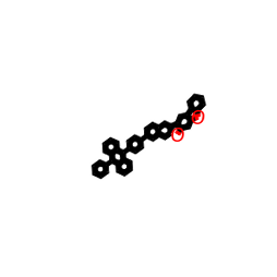 c1ccc(-c2c3ccccc3c(-c3ccc(-c4ccc5cc6c(cc5c4)oc4cc5oc7ccccc7c5cc46)cc3)c3ccccc23)cc1